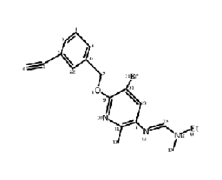 C#Cc1cccc(COc2nc(C)c(/N=C/N(C)CC)cc2Br)c1